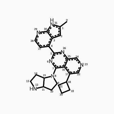 Cc1cc2c(-c3nc(N4CCC5NCCC54)c4c(C5CCC5)cncc4n3)ccnc2[nH]1